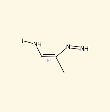 C/C(=C/NI)N=N